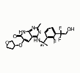 Cc1nc(N[C@H](C)c2cccc(C(F)(F)CO)c2F)c2cc(OC3CCOC3)c(=O)[nH]c2n1